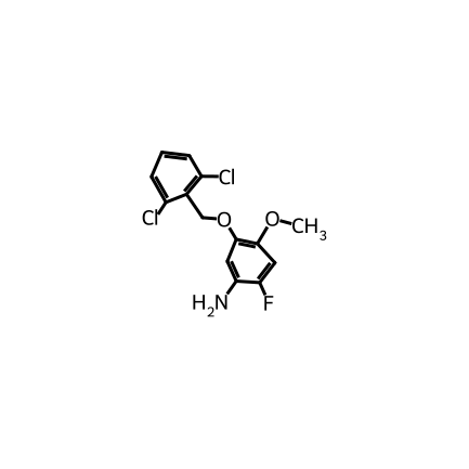 COc1cc(F)c(N)cc1OCc1c(Cl)cccc1Cl